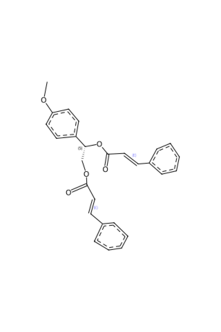 COc1ccc([C@@H](COC(=O)/C=C/c2ccccc2)OC(=O)/C=C/c2ccccc2)cc1